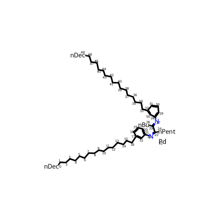 CCCCCCCCCCCCCCCCCCCCCCCCCCc1cccc(/N=C(CCCCC)\C(CCCC)=N\c2cccc(CCCCCCCCCCCCCCCCCCCCCCCCCC)c2)c1.[Pd]